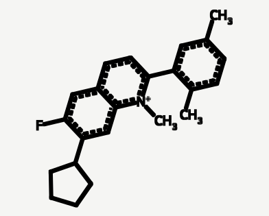 Cc1ccc(C)c(-c2ccc3cc(F)c(C4CCCC4)cc3[n+]2C)c1